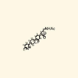 CC(=O)NCC1CN(c2ccc(N3CCN(c4ccc(C)nn4)CC3)c(F)c2)C(=O)O1